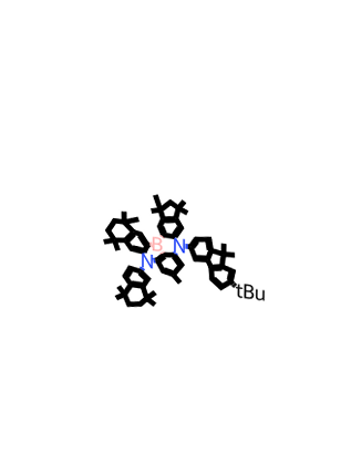 Cc1cc2c3c(c1)N(c1ccc4c(c1)-c1ccc(C(C)(C)C)cc1C4(C)C)c1cc4c(cc1B3c1cc3c(cc1N2c1ccc2c(c1)C(C)(C)CCC2(C)C)C(C)(C)CCC3(C)C)C(C)(C)CC4(C)C